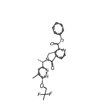 Cc1cc(C(C)N2Cc3c(ccnc3C(=O)Oc3ccccc3)C2=O)nnc1OCC(C)(F)F